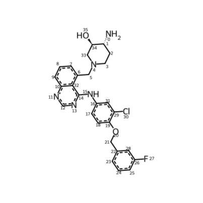 N[C@@H]1CCN(Cc2cccc3ncnc(Nc4ccc(OCc5cccc(F)c5)c(Cl)c4)c23)C[C@H]1O